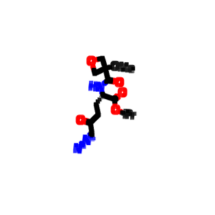 COC1(C(=O)N[C@@H](CCC(=O)C=[N+]=[N-])C(=O)OC(C)C)COC1